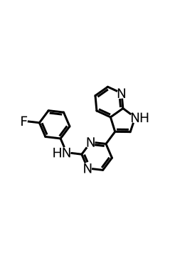 Fc1cccc(Nc2nccc(-c3c[nH]c4ncccc34)n2)c1